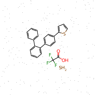 O=C(O)C(F)(F)F.S.c1ccc(-c2ccccc2-c2ccc(-c3cccs3)cc2)cc1